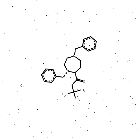 CC(C)(C)OC(=O)C1CCN(Cc2ccccc2)CCN1Cc1ccccc1